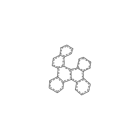 c1ccc2c(c1)ccc1c3ccccc3c3c4ccccc4c4ccccc4c3c21